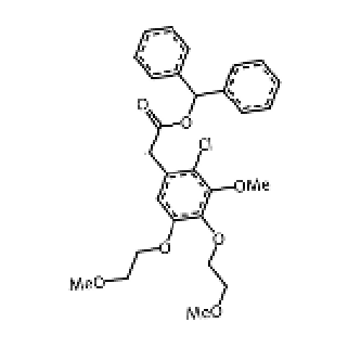 COCCOc1cc([CH]C(=O)OC(c2ccccc2)c2ccccc2)c(Cl)c(OC)c1OCCOC